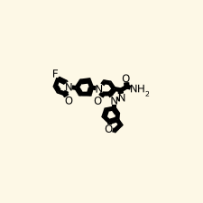 NC(=O)c1nn(-c2ccc3c(c2)CCO3)c2c1CCN(c1ccc(-n3cc(F)ccc3=O)cc1)C2=O